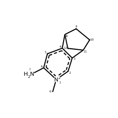 C[n+]1cc2c(cc1N)C1CCC2C1